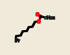 CCCCCCC(=O)OCCCCCCCC(C)C